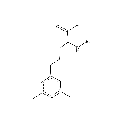 CCNC(CCCc1cc(C)cc(C)c1)C(=O)CC